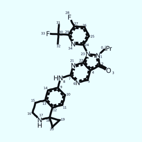 CC(C)n1c(=O)c2cnc(Nc3ccc4c(c3)CCNC43CC3)nc2n1-c1ccc(F)c(C(C)(C)F)n1